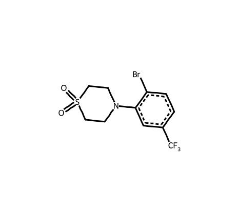 O=S1(=O)CCN(c2cc(C(F)(F)F)ccc2Br)CC1